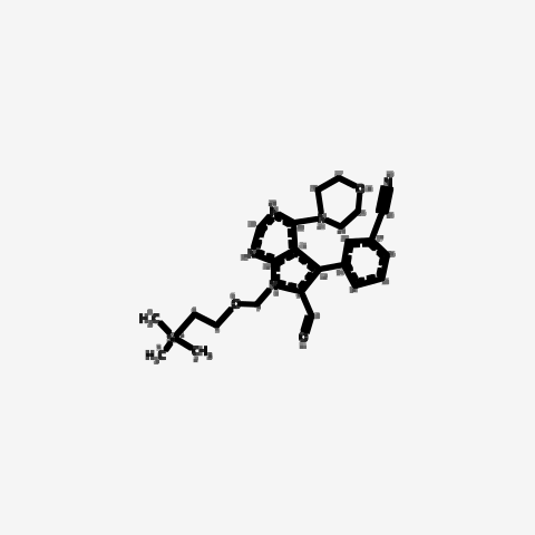 C[Si](C)(C)CCOCn1c(C=O)c(-c2cccc(C#N)c2)c2c(N3CCOCC3)ncnc21